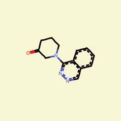 O=C1CCCN(c2nncc3ccccc23)C1